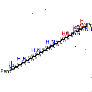 CCCCCC(N)CCCCCCCC(N)CCCCCCCC(N)CCCCCCCC(N)CCCCCCCC(O)CCNC(=O)CC(O)CC(O)C(N)C(C)C